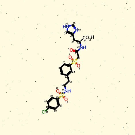 O=C(CS(=O)(=O)c1cccc(CCNS(=O)(=O)c2ccc(Cl)cc2)c1)N[C@@H](Cc1c[nH]cn1)C(=O)O